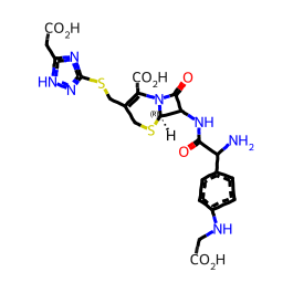 NC(C(=O)NC1C(=O)N2C(C(=O)O)=C(CSc3n[nH]c(CC(=O)O)n3)CS[C@H]12)c1ccc(NCC(=O)O)cc1